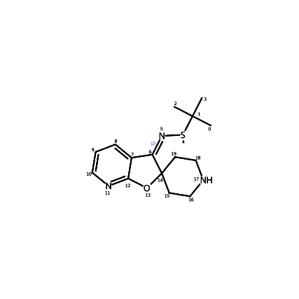 CC(C)(C)S/N=C1/c2cccnc2OC12CCNCC2